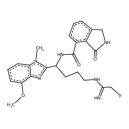 COc1cccc2c1nc(C(CCCNC(=N)CF)NC(=O)c1cccc3c1C(=O)NC3)n2C